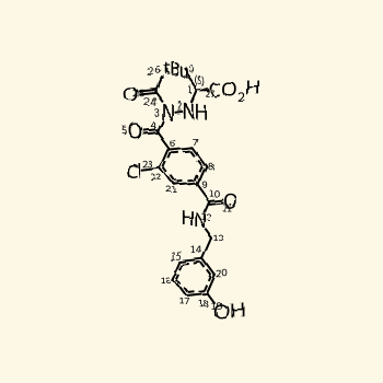 C[C@H](NN(C(=O)c1ccc(C(=O)NCc2cccc(O)c2)cc1Cl)C(=O)C(C)(C)C)C(=O)O